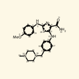 COc1ccc(Nc2nc(C(N)=O)c(Nc3ccc(CN4CCN(C)CC4)cc3)s2)cc1